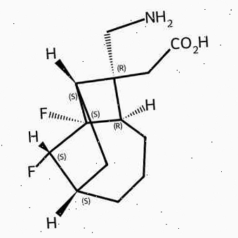 NC[C@]1(CC(=O)O)[C@H]2CCC[C@H]3C[C@@H]1[C@]2(F)[C@H]3F